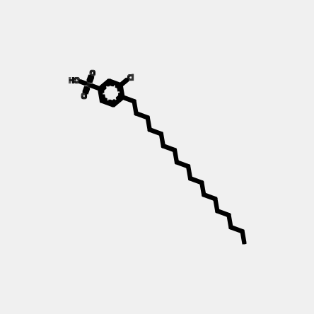 CCCCCCCCCCCCCCCCCCc1ccc(S(=O)(=O)O)cc1Cl